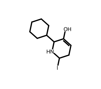 OC1=CCC(I)NC1C1CCCCC1